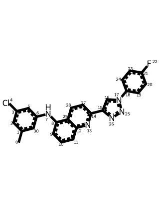 Cc1cc(Cl)cc(Nc2cccc3nc(-c4cn(-c5ccc(F)cc5)nn4)ccc23)c1